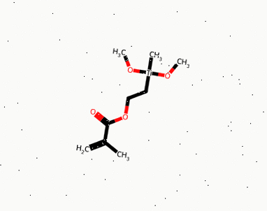 C=C(C)C(=O)OC[CH2][Ti]([CH3])([O]C)[O]C